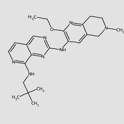 CCOc1nc2c(cc1Nc1ncc3ccnc(NCC(C)(C)C)c3n1)CN(C)CC2